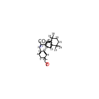 CCOC(=O)/C(=C/C1=CCC(=C=O)C=C1)c1ccc2c(c1)C(C)(C)CCC2(C)C